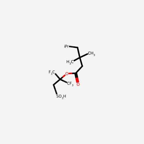 CC(C)CC(C)(C)CC(=O)OC(CS(=O)(=O)O)(C(F)(F)F)C(F)(F)F